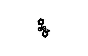 Cc1cccc[n+]1OC(=O)c1ccccc1